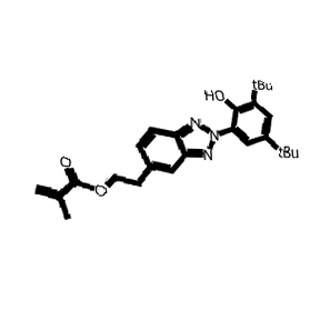 C=C(C)C(=O)OCCc1ccc2nn(-c3cc(C(C)(C)C)cc(C(C)(C)C)c3O)nc2c1